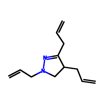 C=CCC1=NN(CC=C)CC1CC=C